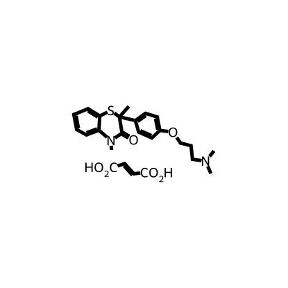 CN(C)CCCOc1ccc(C2(C)Sc3ccccc3N(C)C2=O)cc1.O=C(O)C=CC(=O)O